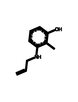 C=CCNc1cccc(O)c1C